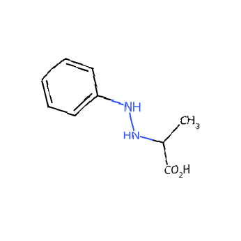 CC(NNc1ccccc1)C(=O)O